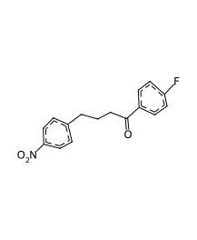 O=C(CCCc1ccc([N+](=O)[O-])cc1)c1ccc(F)cc1